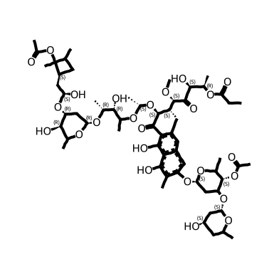 CCC(=O)O[C@H](C)[C@H](O)C(=O)[C@@H](OC)[C@@H]1Cc2cc3cc(O[C@H]4CC(O[C@H]5C[C@@H](O)CC(C)O5)[C@@H](OC(C)=O)C(C)O4)c(C)c(O)c3c(O)c2C(=O)[C@H]1O[C@@H](C)OC(C)[C@@H](O)[C@@H](C)O[C@H]1C[C@@H](O[C@H](O)C[C@@H]2CC(C)C2(C)OC(C)=O)[C@H](O)C(C)O1